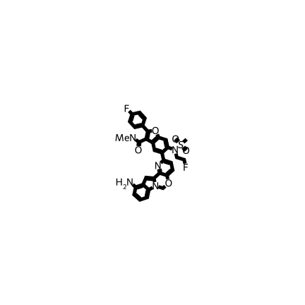 CNC(=O)c1c(-c2ccc(F)cc2)oc2cc(N(CCF)S(C)(=O)=O)c(-c3ccc4c(n3)-c3cc5c(N)cccc5n3CO4)cc12